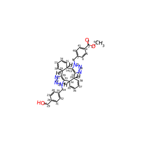 COC(=O)c1ccc(Cn2nnc3c2[C@H]2C=CC=C[C@H]2c2nnn(Cc4ccc(CO)cc4)c2[C@H]2C=CC=C[C@@H]32)cc1